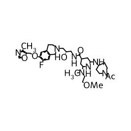 COCCN(C)C1CC(C(=O)NC[C@H](O)CN2CCc3cc(OCc4ocnc4C)c(F)cc3C2)CC(NC2CCN(C(C)=O)CC2)N1